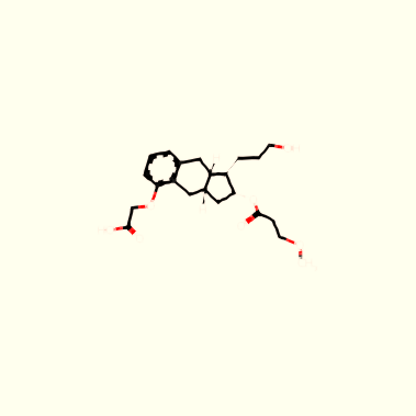 COCCC(=O)O[C@@H]1C[C@@H]2Cc3c(cccc3OCC(=O)O)C[C@@H]2[C@H]1CCCO